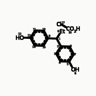 CCC(c1ccc(O)cc1)c1ccc(O)cc1.O=C(O)Cl